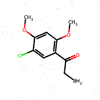 BCC(=O)c1cc(Cl)c(OC)cc1OC